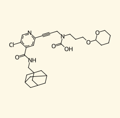 O=C(NCC12CC3CC(CC(C3)C1)C2)c1cc(C#CCN(CCCOC2CCCCO2)C(=O)O)ncc1Cl